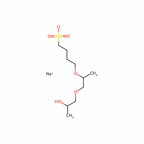 CC(O)COCC(C)OCCCCS(=O)(=O)[O-].[Na+]